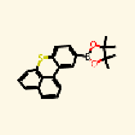 CC1(C)OB(c2ccc3c(c2)-c2cccc4cccc(c24)S3)OC1(C)C